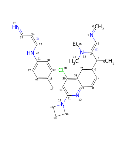 C=N/C=C(/C(C)c1ccc2nc(N3CCC3)c(Cc3ccc(N/C=C\C=N)cc3)c(Cl)c2c1)N(C)CC